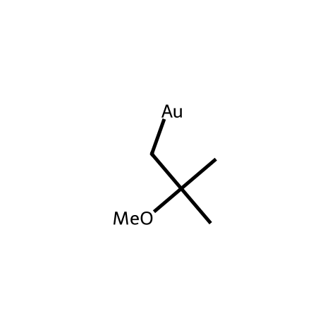 COC(C)(C)[CH2][Au]